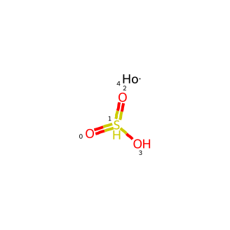 O=[SH](=O)O.[Ho]